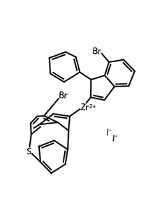 Brc1cccc2c1C(c1ccccc1)[C]([Zr+2][C]1=Cc3c4ccc(Br)c3C1c1ccc(cc1)S4)=C2.[I-].[I-]